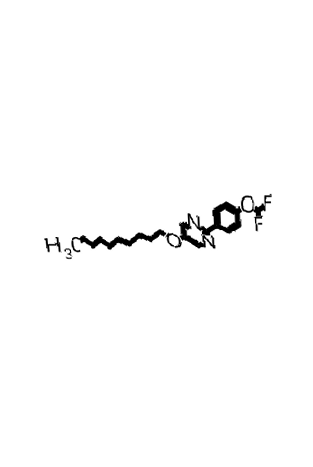 CCCCCCCCCCOc1cnc(-c2ccc(OC(F)F)cc2)nc1